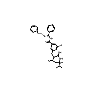 CC(C)[C@]1(C)CC(=O)N(Cc2cc(F)cc(C(=O)N[C@@H](COCc3ccccc3)c3ccccc3)c2)C(=N)N1